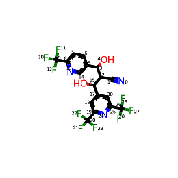 N#CC(C(O)c1ccc(C(F)(F)F)nc1)C(O)c1cc(C(F)(F)F)nc(C(F)(F)F)c1